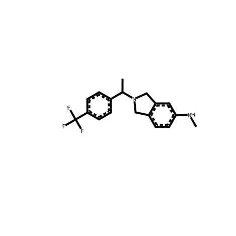 CNc1ccc2c(c1)CN(C(C)c1ccc(C(F)(F)F)cc1)C2